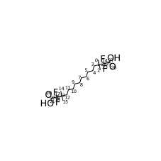 CC(C)(CCCCCCCCCCC(C)(C)C(F)(F)C(=O)O)C(F)(F)C(=O)O